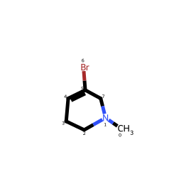 CN1CCC=C(Br)C1